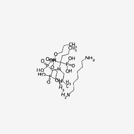 CCCOP(=O)(OCCC)C(CCC)(N(CCC)C(P(=O)(O)O)P(=O)(O)O)P(=O)(O)O.NCCCCCCN